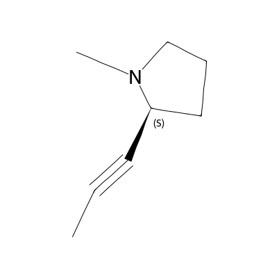 CC#C[C@@H]1CCCN1C